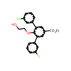 CCOC(=O)c1cc(-c2cccc(F)c2)c(OCCO)c(-c2cccc(F)c2)c1